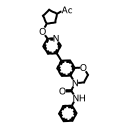 CC(=O)C1CCC(Oc2ccc(-c3ccc4c(c3)OCCN4C(=O)Nc3ccccc3)cn2)C1